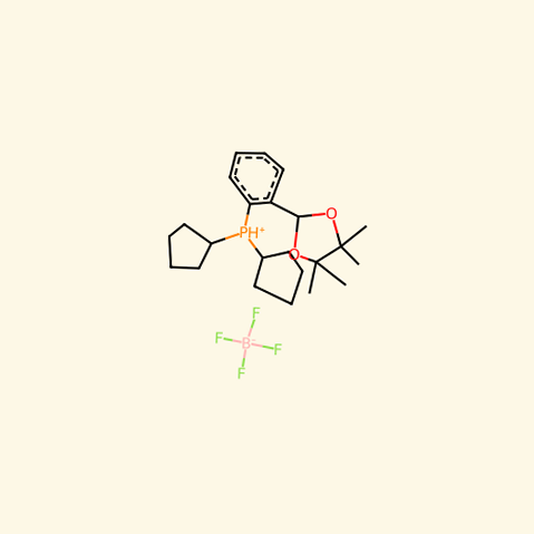 CC1(C)OC(c2ccccc2[PH+](C2CCCC2)C2CCCC2)OC1(C)C.F[B-](F)(F)F